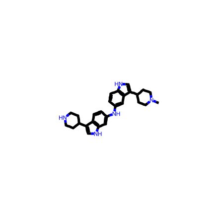 CN1CCC(c2c[nH]c3ccc(Nc4ccc5c(C6CCNCC6)c[nH]c5c4)cc23)CC1